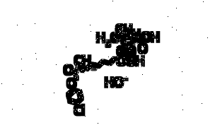 CN(CCCCCCOP(=O)(O)O[C@H](CC(=O)O)C[N+](C)(C)C)C(=O)COc1ccc(Cl)cc1.[OH-]